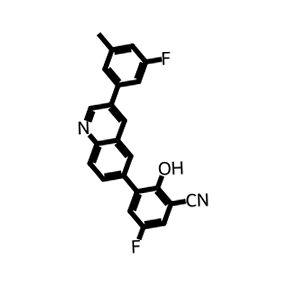 Cc1cc(F)cc(-c2cnc3ccc(-c4cc(F)cc(C#N)c4O)cc3c2)c1